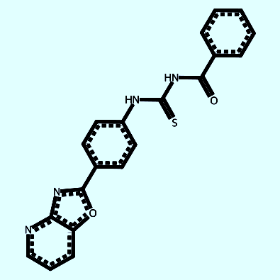 O=C(NC(=S)Nc1ccc(-c2nc3ncccc3o2)cc1)c1ccccc1